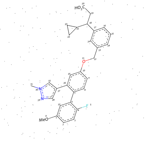 COc1ccc(F)c(-c2ccc(OCc3cccc(C(CC(=O)O)C4CC4)c3)cc2-c2cnn(C)c2)c1